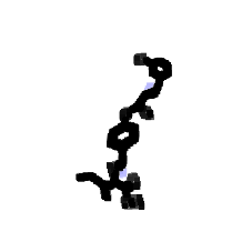 CCC(C)C(/N=C/c1ccc(OC(=O)/C=C/c2cccc(Cl)c2)cc1)C(=O)O